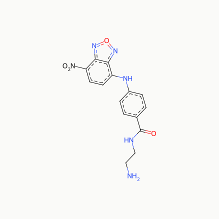 NCCNC(=O)c1ccc(Nc2ccc([N+](=O)[O-])c3nonc23)cc1